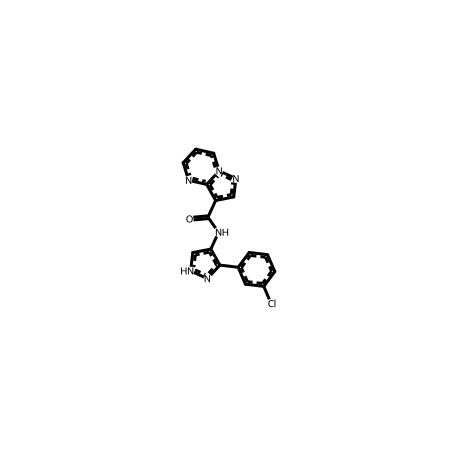 O=C(Nc1c[nH]nc1-c1cccc(Cl)c1)c1cnn2cccnc12